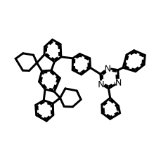 c1ccc(-c2nc(-c3ccccc3)nc(-c3ccc(-c4cccc5c4-c4cc6c(cc4C54CCCCC4)-c4ccccc4C64CCCCC4)cc3)n2)cc1